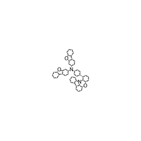 c1cc2c(c(-c3ccc(N(c4ccc5c(c4)oc4ccccc45)c4ccc5c(c4)oc4ccccc45)cc3)c1)-n1c3ccccc3c3cccc(c31)O2